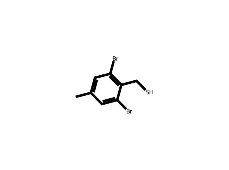 Cc1cc(Br)c(CS)c(Br)c1